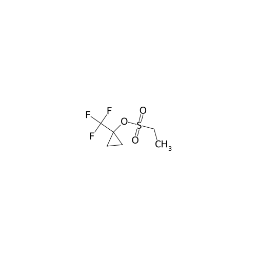 CCS(=O)(=O)OC1(C(F)(F)F)CC1